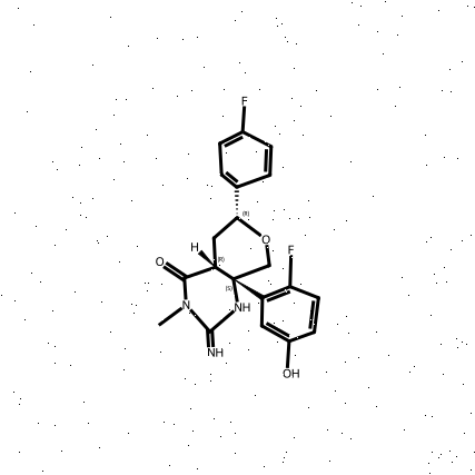 CN1C(=N)N[C@@]2(c3cc(O)ccc3F)CO[C@@H](c3ccc(F)cc3)C[C@H]2C1=O